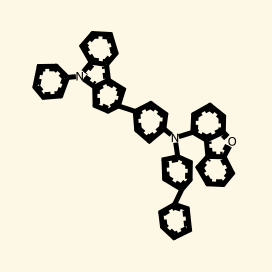 c1ccc(-c2ccc(N(c3ccc(-c4ccc5c(c4)c4ccccc4n5-c4ccccc4)cc3)c3cccc4oc5ccccc5c34)cc2)cc1